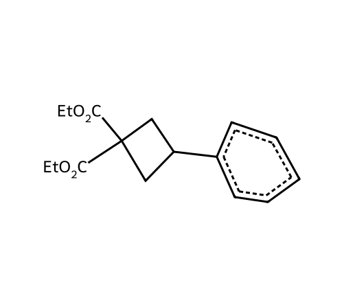 CCOC(=O)C1(C(=O)OCC)CC(c2ccccc2)C1